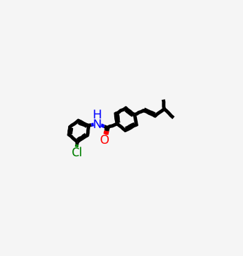 CC(C)/C=C/c1ccc(C(=O)Nc2cccc(Cl)c2)cc1